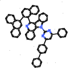 c1ccc(-c2ccc(-c3cc(-c4ccccc4)nc(-n4c5ccccc5c5c(-c6c(-c7cc8ccccc8c8ccccc78)ccc7ccccc67)nc6ccccc6c54)n3)cc2)cc1